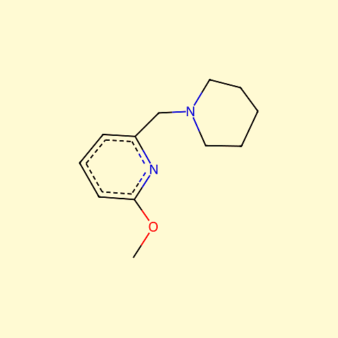 COc1cccc(CN2CCCCC2)n1